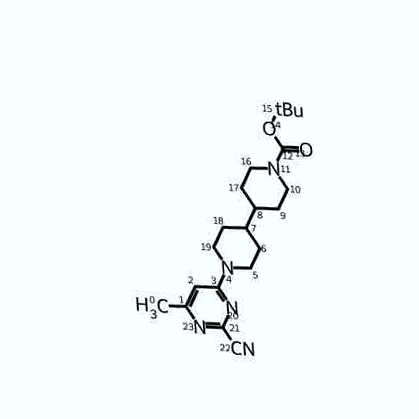 Cc1cc(N2CCC(C3CCN(C(=O)OC(C)(C)C)CC3)CC2)nc(C#N)n1